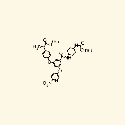 CC(C)(C)OC(=O)NC1CCC(NC(=O)c2cc(Oc3ccc(C(N)C(=O)OC(C)(C)C)cc3)cc(Oc3ccc([N+](=O)[O-])nc3)c2)CC1